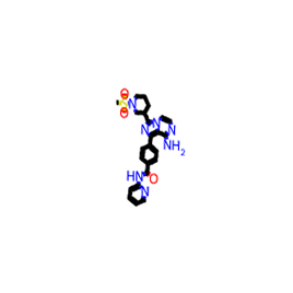 CS(=O)(=O)N1CCCC(c2nc(-c3ccc(C(=O)Nc4ccccn4)cc3)c3c(N)nccn23)C1